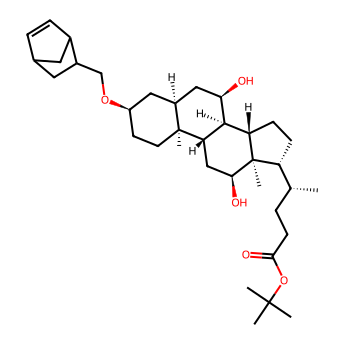 C[C@H](CCC(=O)OC(C)(C)C)[C@H]1CC[C@H]2[C@@H]3[C@H](O)C[C@@H]4C[C@H](OCC5CC6C=CC5C6)CC[C@]4(C)[C@H]3C[C@H](O)[C@]12C